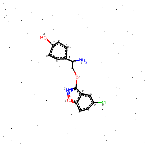 NC(COc1noc2ccc(Cl)cc12)c1ccc(O)cc1